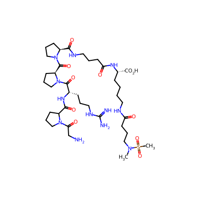 CN(CCCC(=O)NCCCC[C@H](NC(=O)CCCNC(=O)[C@@H]1CCCN1C(=O)[C@@H]1CCCN1C(=O)[C@H](CCCNC(=N)N)NC(=O)C1CCCN1C(=O)CN)C(=O)O)S(C)(=O)=O